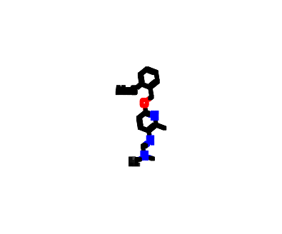 CCN(C)/C=N/c1ccc(OCc2ccccc2SC)nc1C